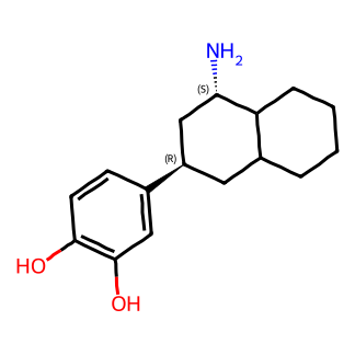 N[C@H]1C[C@H](c2ccc(O)c(O)c2)CC2CCCCC21